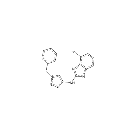 Brc1cccn2nc(Nc3cnn(Cc4ccccc4)c3)nc12